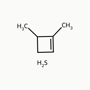 CC1=CCC1C.S